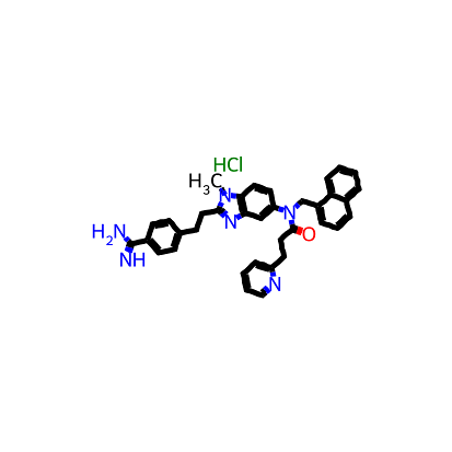 Cl.Cn1c(CCc2ccc(C(=N)N)cc2)nc2cc(N(Cc3cccc4ccccc34)C(=O)CCc3ccccn3)ccc21